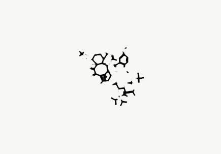 COc1ccc(OC)c(C(=O)O[C@H]2[C@@H]3[C@]4(OC(C)=O)CO[C@@H]4C[C@H](OS(=O)(=O)C(F)(F)F)[C@@]3(C)C(=O)C(=O)C3=C(C)[C@@H](OC(=O)[C@H](O[Si](C(C)C)(C(C)C)C(C)C)[C@H](C=C(C)C)NC(=O)OC(C)(C)C)C[C@]2(O)C3(C)C)c1